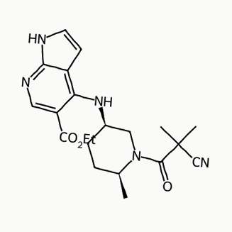 CCOC(=O)c1cnc2[nH]ccc2c1N[C@@H]1CC[C@H](C)N(C(=O)C(C)(C)C#N)C1